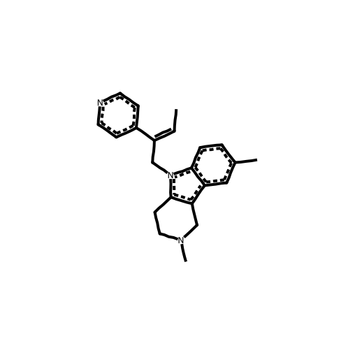 CC=C(Cn1c2c(c3cc(C)ccc31)CN(C)CC2)c1ccncc1